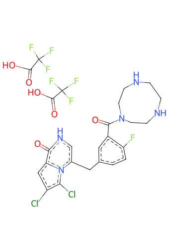 O=C(O)C(F)(F)F.O=C(O)C(F)(F)F.O=C(c1cc(Cc2c[nH]c(=O)c3cc(Cl)c(Cl)n23)ccc1F)N1CCNCCNCC1